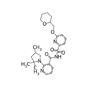 CC1CN(c2ncccc2C(=O)NS(=O)(=O)c2cccc(OCC3CCCCO3)n2)C(C)(C)C1